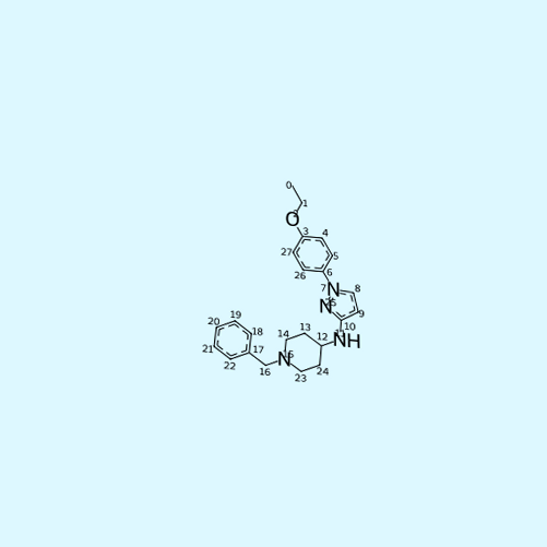 CCOc1ccc(-n2ccc(NC3CCN(Cc4ccccc4)CC3)n2)cc1